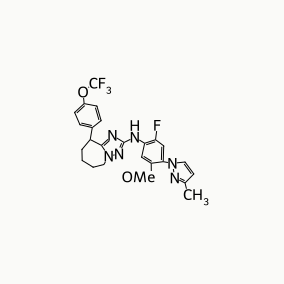 COc1cc(Nc2nc3n(n2)CCCCC3c2ccc(OC(F)(F)F)cc2)c(F)cc1-n1ccc(C)n1